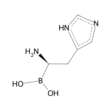 N[C@@H](Cc1cnc[nH]1)B(O)O